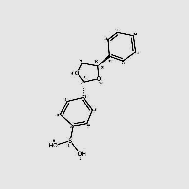 OB(O)c1ccc([C@@H]2OC[C@@H](c3ccccc3)O2)cc1